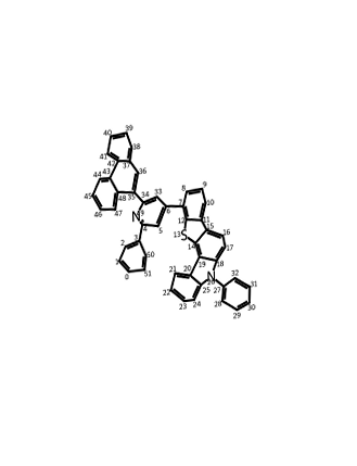 c1ccc(-c2cc(-c3cccc4c3sc3c4ccc4c3c3ccccc3n4-c3ccccc3)cc(-c3cc4ccccc4c4ccccc34)n2)cc1